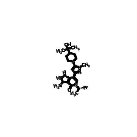 CC(C)[C@H](C)n1cc(-c2cc(N3CCC(C(C)(C)O)CC3)n(C)n2)c2c(c1=O)C(N)NN2